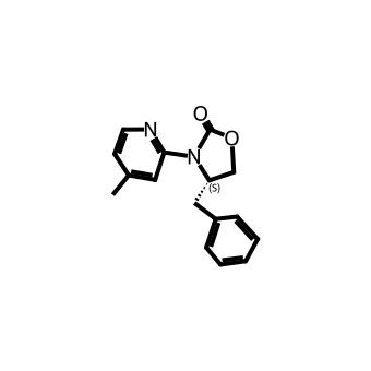 Cc1ccnc(N2C(=O)OC[C@@H]2Cc2ccccc2)c1